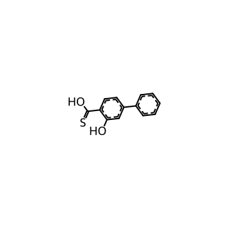 OC(=S)c1ccc(-c2ccccc2)cc1O